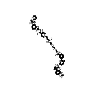 Cc1ccc(NC(=O)C2(c3ccc4c(c3)OC(F)(F)O4)CC2)nc1-c1cccc(C(=O)NCCOCCOCCNC(=O)CCN2CCC(C(=O)Nc3nc4cc(NS(=O)(=O)c5ccccn5)ccc4s3)CC2)c1